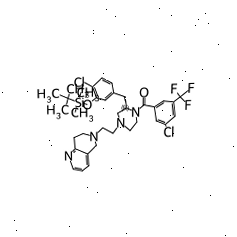 CC(C)(C)[Si](C)(C)Oc1cc(C[C@@H]2CN(CCN3CCc4ncccc4C3)CCN2C(=O)c2cc(Cl)cc(C(F)(F)F)c2)ccc1Cl